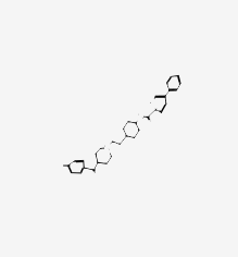 O=C(NC1CCC(CCN2CCC(C(=O)c3ccc(F)cc3)CC2)CC1)c1ccc(-c2ccccc2)cn1